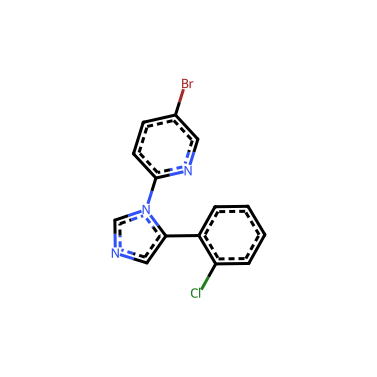 Clc1ccccc1-c1cncn1-c1ccc(Br)cn1